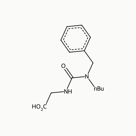 CCCCN(Cc1ccccc1)C(=O)NCC(=O)O